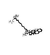 C#C[C@]1(OC(=O)CCCCCCCCCC(C)CCCC)CC[C@H]2[C@@H]3CCC4CC=CC[C@@H]4[C@H]3CC[C@@]21C